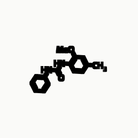 COc1cc(C)ccc1NC(=O)Nc1ccccc1